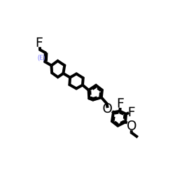 CCOc1ccc(OCc2ccc(C3CCC(C4CCC(/C=C/CF)CC4)CC3)cc2)c(F)c1F